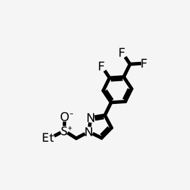 CC[S+]([O-])Cn1ccc(-c2ccc(C(F)F)c(F)c2)n1